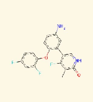 Cc1c(F)c(-c2cc(N)ccc2Oc2ccc(F)cc2F)c[nH]c1=O